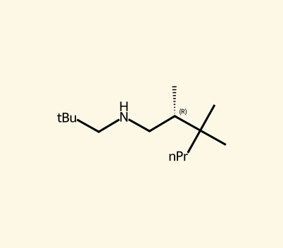 CCCC(C)(C)[C@@H](C)CNCC(C)(C)C